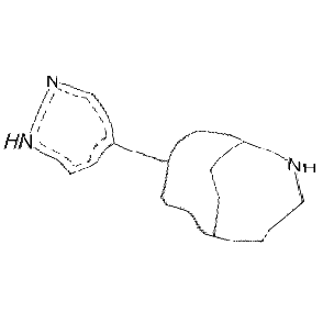 c1n[nH]cc1C1CC2CCNC(C2)C1